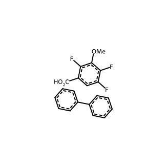 COc1c(F)c(F)cc(C(=O)O)c1F.c1ccc(-c2ccccc2)cc1